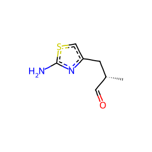 C[C@H](C=O)Cc1csc(N)n1